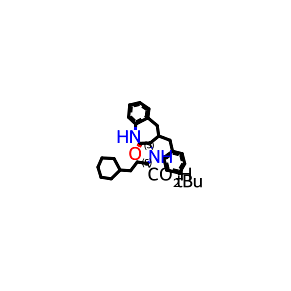 CC(C)(C)c1ccc(CC2Cc3ccccc3NC(=O)[C@H]2N[C@@H](CCC2CCCCC2)C(=O)O)cc1